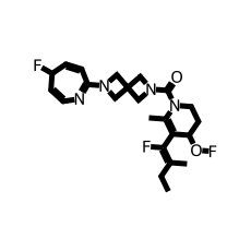 CC/C(C)=C(\F)C1=C(C)N(C(=O)N2CC3(C2)CN(C2=NC=CC(F)C=C2)C3)CCC1OF